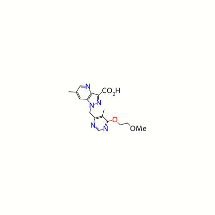 COCCOc1ncnc(Cn2nc(C(=O)O)c3ncc(C)cc32)c1C